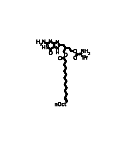 CCCCCCCCC=CCCCCCCCCCCCC(=O)OCC(CCOC(=O)[C@@H](N)C(C)C)Cc1nc2nc(N)[nH]c(=O)c2[nH]1